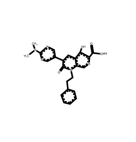 COC(=O)c1ncc2c(cc(-c3cnc(N(C)C)nc3)c(=O)n2CCc2ccccc2)c1O